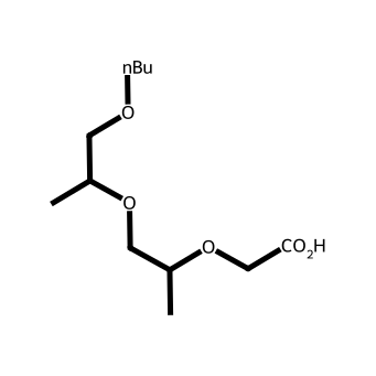 CCCCOCC(C)OCC(C)OCC(=O)O